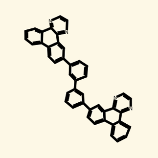 c1cc(-c2cccc(-c3ccc4c5ccccc5c5nccnc5c4c3)c2)cc(-c2ccc3c4ccccc4c4nccnc4c3c2)c1